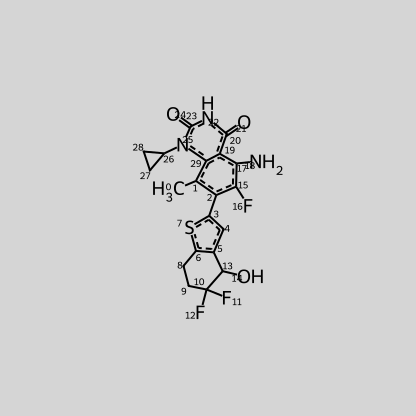 Cc1c(-c2cc3c(s2)CCC(F)(F)C3O)c(F)c(N)c2c(=O)[nH]c(=O)n(C3CC3)c12